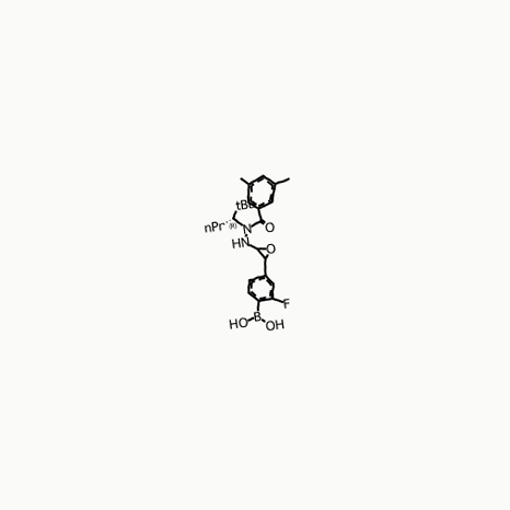 CCC[C@@H](N(NC1OC1c1ccc(B(O)O)c(F)c1)C(=O)c1cc(C)cc(C)c1)C(C)(C)C